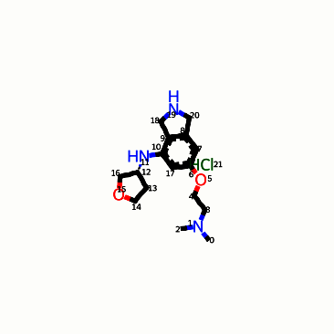 CN(C)CCOc1cc2c(c(N[C@@H]3CCOC3)c1)CNC2.Cl